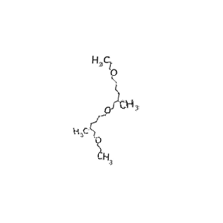 CCCOCCCC[C@@H](C)CCOCCCC[C@@H](C)CCOCCC